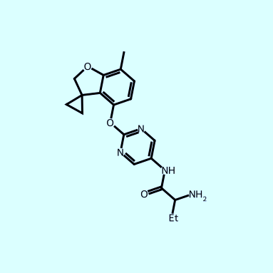 CCC(N)C(=O)Nc1cnc(Oc2ccc(C)c3c2C2(CC2)CO3)nc1